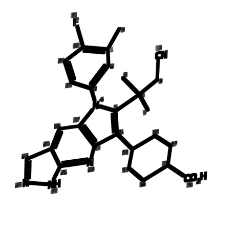 Cc1cc(-n2c(C(C)(C)CC#N)c(C3CCC(C(=O)O)CC3)c3nc4[nH]ncc4cc32)ccc1F